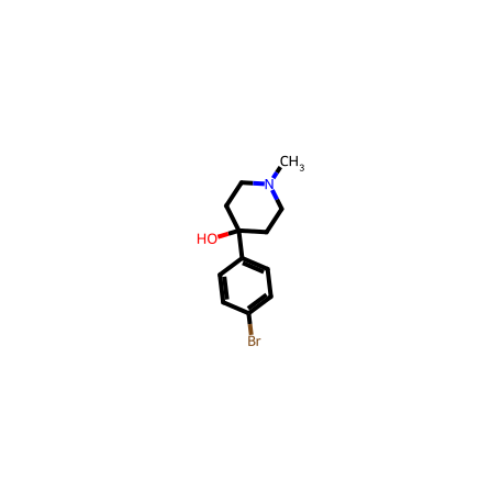 CN1CCC(O)(c2ccc(Br)cc2)CC1